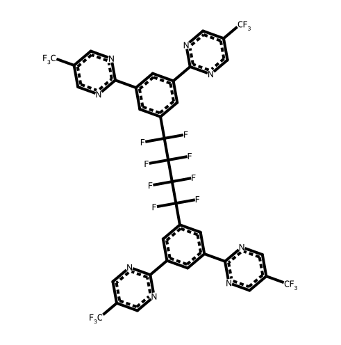 FC(F)(F)c1cnc(-c2cc(-c3ncc(C(F)(F)F)cn3)cc(C(F)(F)C(F)(F)C(F)(F)C(F)(F)c3cc(-c4ncc(C(F)(F)F)cn4)cc(-c4ncc(C(F)(F)F)cn4)c3)c2)nc1